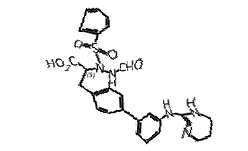 O=CNN([C@@H](Cc1ccc(-c2cccc(NC3=NCCCN3)c2)cc1)C(=O)O)S(=O)(=O)c1ccccc1